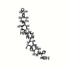 Cc1cc(-c2ncnc(Nc3ccc(N4CCN(C5COC5)CC4)c(C)c3)n2)ccc1O[C@H]1CCN(C(=O)CO)C[C@H]1F